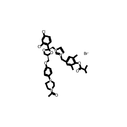 CC(=O)N1CCN(c2ccc(OC[C@H]3CO[C@](Cn4cc[n+](Cc5cc(C)c(OC(=O)C(C)C)c(C)c5)c4)(c4ccc(Cl)cc4Cl)O3)cc2)CC1.[Br-]